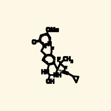 COc1cnn(Cc2cc3c(cc2F)[C@@](C#CC2CC2)(C(C)(F)F)NC(O)N3)c(=O)c1